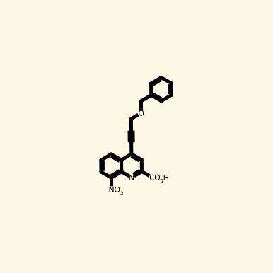 O=C(O)c1cc(C#CCOCc2ccccc2)c2cccc([N+](=O)[O-])c2n1